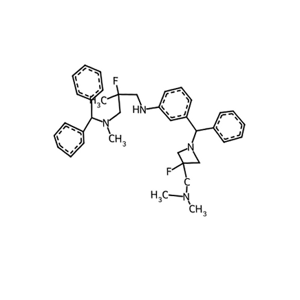 CN(C)CC1(F)CN(C(c2ccccc2)c2cccc(NCC(C)(F)CN(C)C(c3ccccc3)c3ccccc3)c2)C1